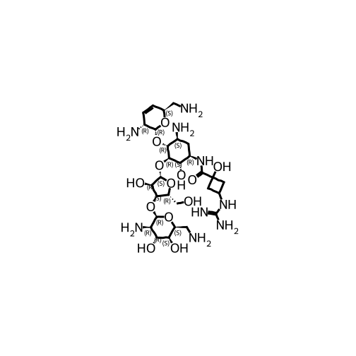 N=C(N)NC1CC(O)(C(=O)N[C@@H]2C[C@H](N)[C@@H](O[C@H]3O[C@H](CN)C=C[C@H]3N)[C@H](O[C@@H]3O[C@H](CO)[C@@H](O[C@H]4O[C@@H](CN)[C@@H](O)[C@H](O)[C@H]4N)[C@H]3O)[C@H]2O)C1